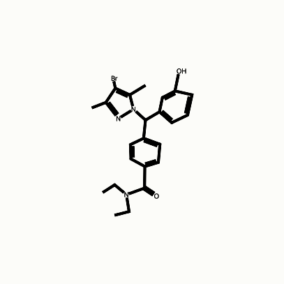 CCN(CC)C(=O)c1ccc(C(c2cccc(O)c2)n2nc(C)c(Br)c2C)cc1